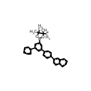 CC1(C)OB(c2cc(-c3ccccc3)cc(-c3ccc(-c4ccc5ccccc5c4)cc3)c2)OC1(C)C